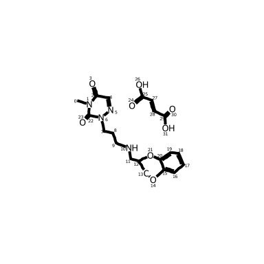 Cn1c(=O)cnn(CCCNCC2COc3ccccc3O2)c1=O.O=C(O)/C=C/C(=O)O